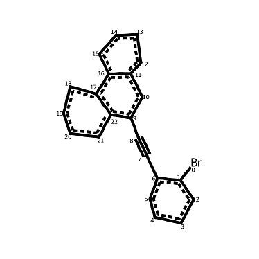 Brc1ccccc1C#Cc1cc2ccccc2c2ccccc12